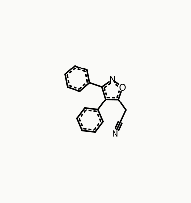 N#CCc1onc(-c2ccccc2)c1-c1ccccc1